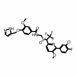 COc1cc(C(=O)NC[S+]([O-])C(c2ccc(OC)c(-c3ccc(F)c(Cl)c3)n2)C(F)(F)F)ccc1OCc1ccn[nH]1